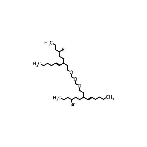 CCCCC=CC(CCOCOCOCCC(C=CCCCC)CCC(Br)CCC)CCC(Br)CCC